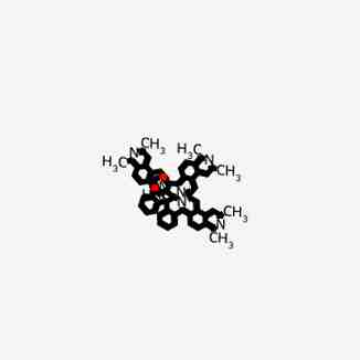 Cc1cc2c(ccc3c(-c4ccccc4[C@@]4(C)c5ccccc5-c5c6ccc7c(C)nc(C)cc7c6cc[n+]5C45c4ccccc4-c4c6ccc7c(C)nc(C)cc7c6cc[n+]45)nccc32)c(C)n1